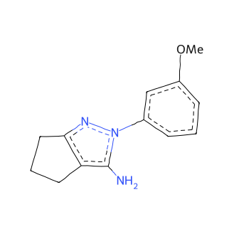 COc1cccc(-n2nc3c(c2N)CCC3)c1